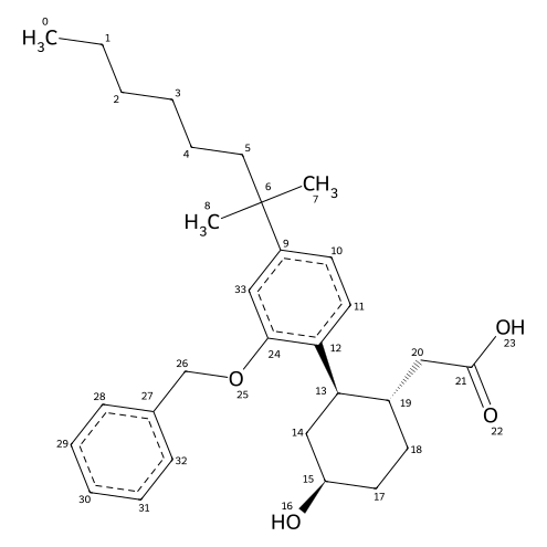 CCCCCCC(C)(C)c1ccc([C@@H]2C[C@H](O)CC[C@H]2CC(=O)O)c(OCc2ccccc2)c1